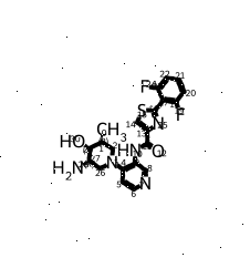 C[C@@H]1CN(c2ccncc2NC(=O)c2csc(-c3c(F)cccc3F)n2)C[C@@H](N)[C@H]1O